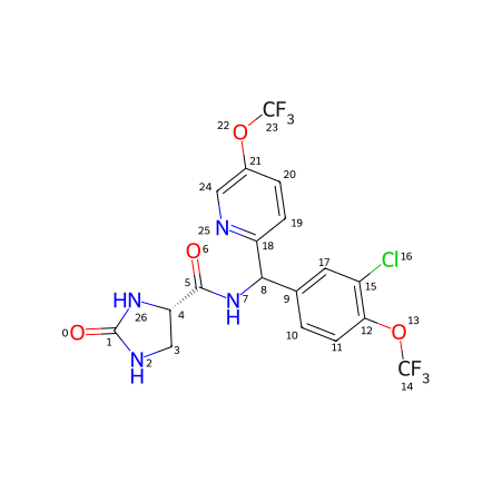 O=C1NC[C@@H](C(=O)NC(c2ccc(OC(F)(F)F)c(Cl)c2)c2ccc(OC(F)(F)F)cn2)N1